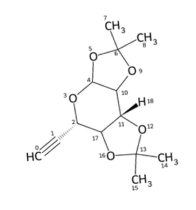 C#C[C@@H]1OC2OC(C)(C)OC2[C@@H]2OC(C)(C)OC21